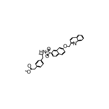 COC(=O)Cc1ccc(CC(C)NS(=O)(=O)c2ccc3ccc(OCc4ccc5ccccc5n4)cc3c2)cc1